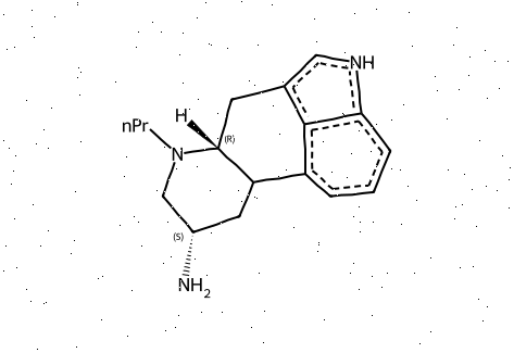 CCCN1C[C@@H](N)CC2c3cccc4[nH]cc(c34)C[C@H]21